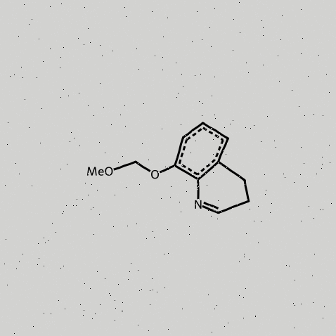 COCOc1cccc2c1N=CCC2